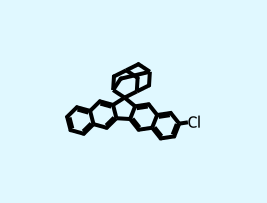 Clc1ccc2cc3c(cc2c1)C1(c2cc4ccccc4cc2-3)C2CC3CC(C2)CC1C3